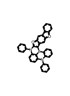 c1ccc(N2c3ccccc3B3c4c2cccc4N(c2ccccc2)c2oc4cc5c(cc4c23)oc2ccccc25)cc1